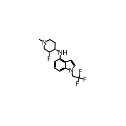 CN1CC[C@@H](Nc2cccc3c2ccn3CC(F)(F)F)[C@@H](F)C1